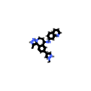 Cc1nnn2c1-c1ccc(-c3cnn(C)c3)cc1C(Nc1ccc3cccnc3c1)CC2